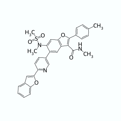 CNC(=O)c1c(-c2ccc(C)cc2)oc2cc(N(C)S(C)(=O)=O)c(-c3ccc(-c4cc5ccccc5o4)nc3)cc12